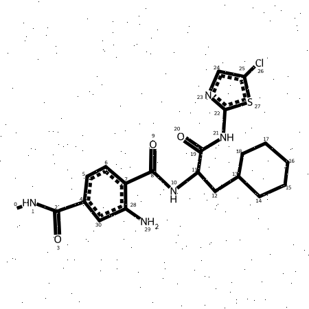 CNC(=O)c1ccc(C(=O)NC(CC2CCCCC2)C(=O)Nc2ncc(Cl)s2)c(N)c1